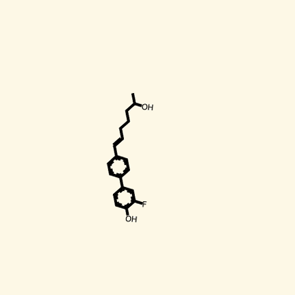 CC(O)CCC/C=C/c1ccc(-c2ccc(O)c(F)c2)cc1